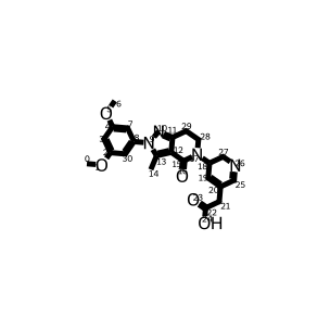 COc1cc(OC)cc(-n2nc3c(c2C)C(=O)N(C2C=C(CC(=O)O)C=NC2)CC3)c1